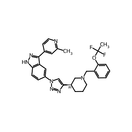 Cc1cc(-c2n[nH]c3ccc(-n4cc([C@@H]5CCCN(Cc6ccccc6OC(C)(F)F)C5)nn4)cc23)ccn1